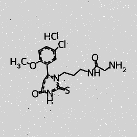 COc1ccc(Cl)cc1-c1cc(=O)[nH]c(=S)n1CCCNC(=O)CN.Cl